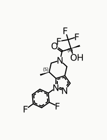 C[C@H]1CN(C(=O)[C@@](C)(O)C(F)(F)F)Cc2cnn(-c3ccc(F)cc3F)c21